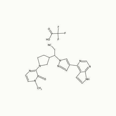 Cn1ccnc(N2CCC(C(CC#N)n3cc(-c4ncnc5[nH]ccc45)cn3)C2)c1=O.O=C(O)C(F)(F)F